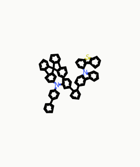 c1ccc(-c2ccc(N(c3cccc(-c4ccccc4-c4ccc5c(c4)c4ccccc4n5-c4cccc5sc6ccccc6c45)c3)c3ccc4c(c3)C3(c5ccccc5-c5ccccc53)c3ccccc3-4)cc2)cc1